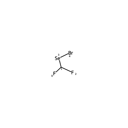 FC(F)[Se]Br